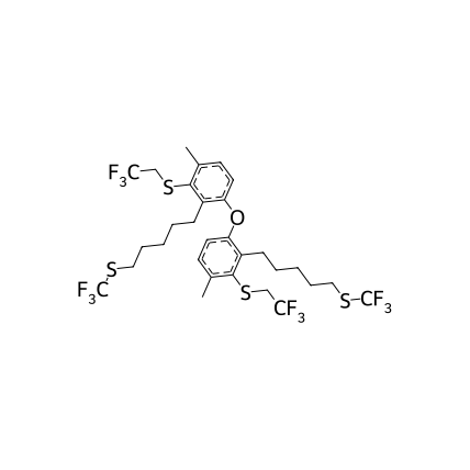 Cc1ccc(Oc2ccc(C)c(SCC(F)(F)F)c2CCCCCSC(F)(F)F)c(CCCCCSC(F)(F)F)c1SCC(F)(F)F